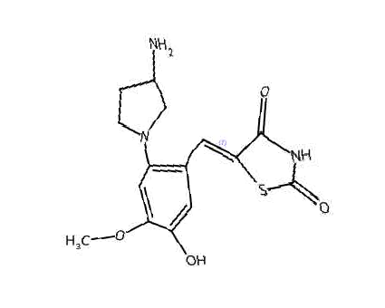 COc1cc(N2CCC(N)C2)c(/C=C2\SC(=O)NC2=O)cc1O